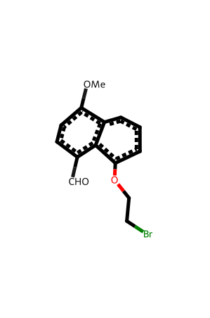 COc1ccc(C=O)c2c(OCCBr)cccc12